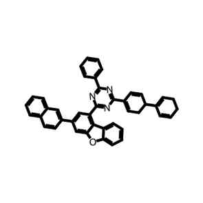 C1=CC(C2C=CC(c3nc(-c4ccccc4)nc(-c4cc(-c5ccc6ccccc6c5)cc5oc6ccccc6c45)n3)=CC2)=CCC1